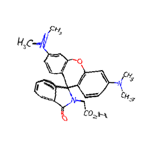 CN(C)c1ccc2c(c1)Oc1cc(N(C)C)ccc1C21c2ccccc2C(=O)N1CC(=O)O